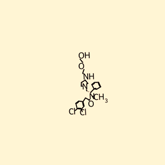 CN(C(=O)Cc1ccc(Cl)c(Cl)c1)[C@H](CN1CC[C@H](NCCOCCO)C1)c1ccccc1